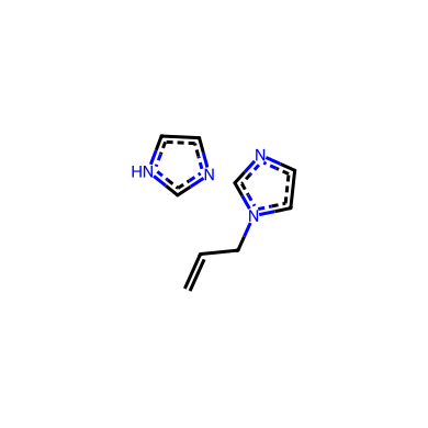 C=CCn1ccnc1.c1c[nH]cn1